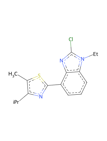 CCn1c(Cl)nc2c(-c3nc(C(C)C)c(C)s3)cccc21